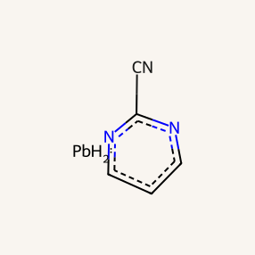 N#Cc1ncccn1.[PbH2]